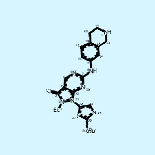 CCn1c(=O)c2cnc(Nc3ccc4c(c3)CNCC4)nc2n1-c1cnc(C(C)(C)C)s1